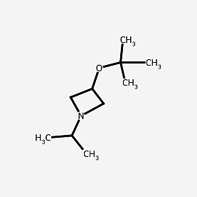 CC(C)N1CC(OC(C)(C)C)C1